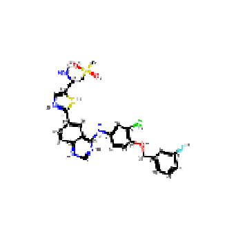 CCN[C@H](CS(C)(=O)=O)c1cnc(-c2ccc3ncnc(Nc4ccc(OCc5cccc(F)c5)c(Cl)c4)c3c2)s1